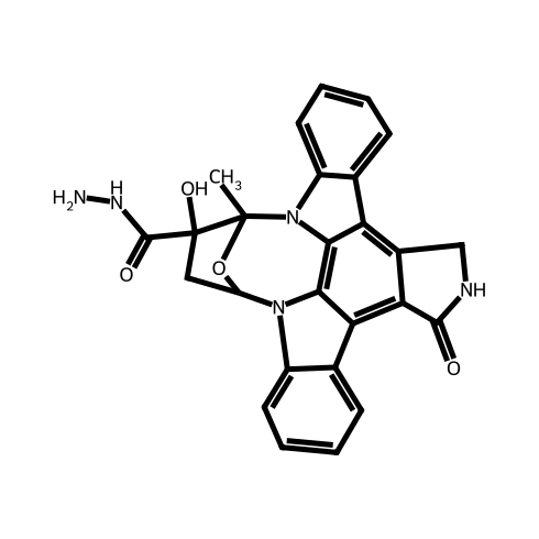 CC12OC(CC1(O)C(=O)NN)n1c3ccccc3c3c4c(c5c6ccccc6n2c5c31)CNC4=O